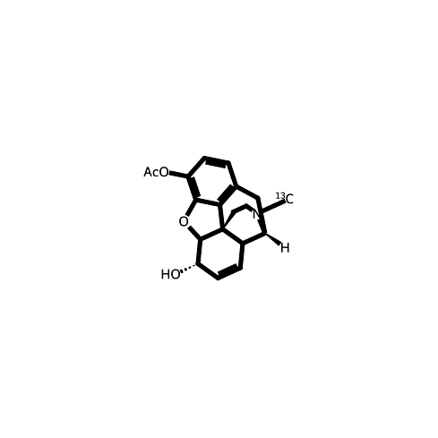 [13CH3][13C](=O)Oc1ccc2c3c1OC1[C@@H](O)C=CC4[C@@H](C2)N([13CH3])CC[C@@]341